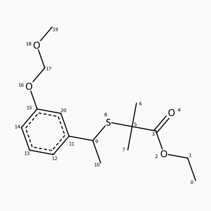 CCOC(=O)C(C)(C)SC(C)c1cccc(OCOC)c1